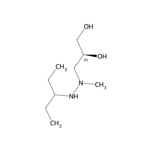 CCC(CC)NN(C)C[C@H](O)CO